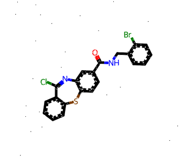 O=C(NCc1ccccc1Br)c1ccc2c(c1)N=C(Cl)c1ccccc1S2